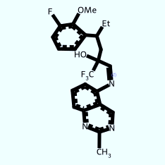 CCC(CC(O)(/C=N\c1cccc2nc(C)ncc12)C(F)(F)F)c1cccc(F)c1OC